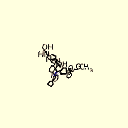 COCCCS(=O)(=O)c1ccc(/C(=N\OC2CCCC2)C(=O)Nc2nc3ccc(NCCO)nc3s2)cc1